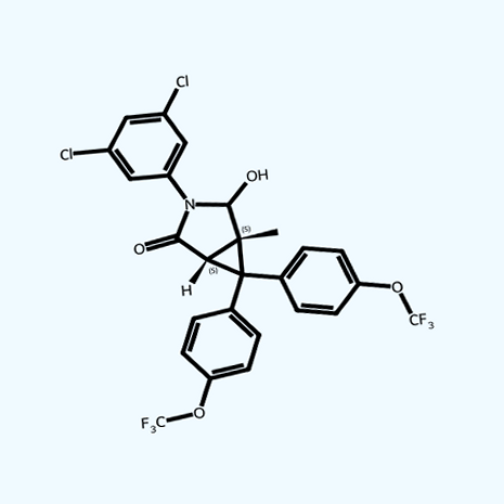 C[C@]12C(O)N(c3cc(Cl)cc(Cl)c3)C(=O)[C@H]1C2(c1ccc(OC(F)(F)F)cc1)c1ccc(OC(F)(F)F)cc1